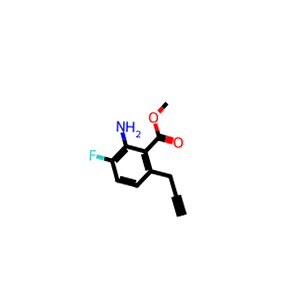 C#CCc1ccc(F)c(N)c1C(=O)OC